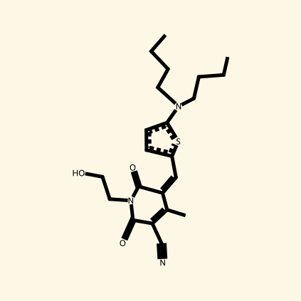 CCCCN(CCCC)c1ccc(C=C2C(=O)N(CCO)C(=O)C(C#N)=C2C)s1